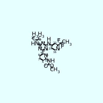 COC(=O)Nc1cccc(-c2nc(Nc3ccnc(C(C)(F)F)c3)nc(NC(C)C)n2)n1